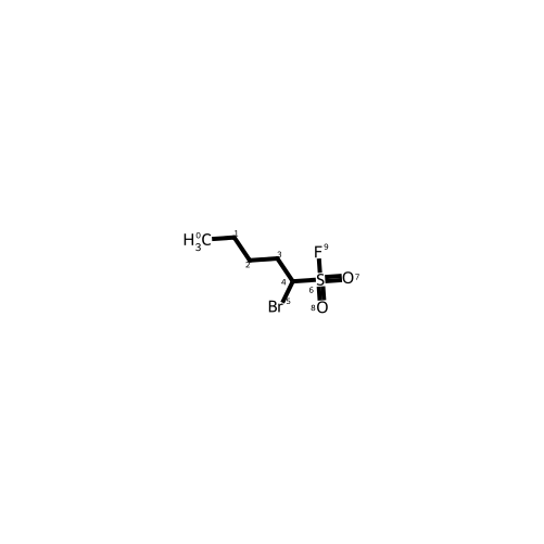 CCCCC(Br)S(=O)(=O)F